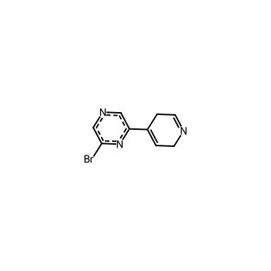 Brc1cncc(C2=CCN=CC2)n1